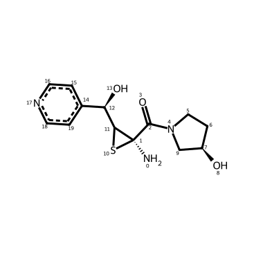 N[C@]1(C(=O)N2CC[C@@H](O)C2)SC1[C@H](O)c1ccncc1